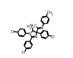 C/C(=N\c1ccc(C)cc1)C1(c2ccc(Cl)cc2)N=C(c2ccc(Cl)cc2)N(C2=CCC(Cl)C=C2)C1C